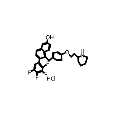 Cl.Oc1ccc2c(Cc3ccc(OCCC4CCCCN4)cc3)c(-c3cc(F)c(F)c(F)c3F)ccc2c1